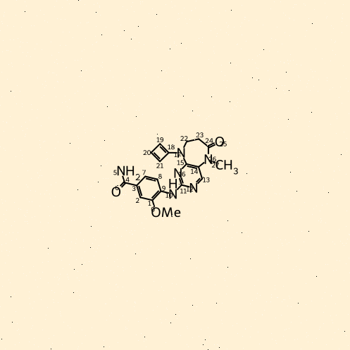 COc1cc(C(N)=O)ccc1Nc1ncc2c(n1)N(C1=CC=C1)CCC(=O)N2C